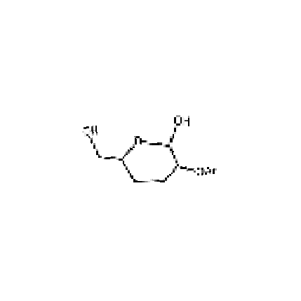 CC(=O)OC1CCC(CO)OC1O